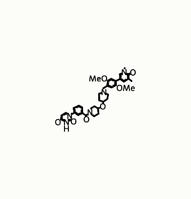 COc1cc(-c2cc(C)c(=O)n(C)c2)c(OC)cc1CN1CCC(OC2CCN(C(=O)c3cccc(-n4ccc(=O)[nH]c4=O)c3)CC2)CC1